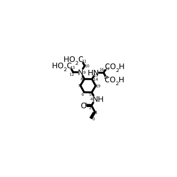 C=CC(=O)NC1CCC(N(CC(=O)O)CC(=O)O)C(NC(C(=O)O)C(=O)O)C1